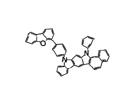 c1ccc(-n2c3cc4c(cc3c3ccc5ccccc5c32)c2ccccc2n4-c2ccc(-c3cccc4c3oc3ccccc34)cc2)cc1